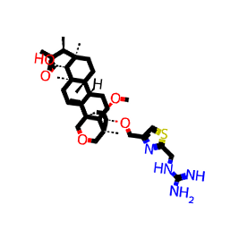 CO[C@@H]1C[C@@]23COC[C@@](C)(C2CC[C@H]2C3=CC[C@@]3(C)[C@H](C(=O)O)[C@@](C)([C@H](C)C(C)C)CC[C@]23C)[C@H]1OCc1csc(CNC(=N)N)n1